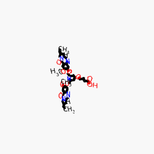 C/C=C1\C[C@H]2C=Nc3cc(OCc4cc(OCCCC(=O)O)cc(COc5cc6c(cc5OC)C(=O)N5C/C(=C/C)C[C@H]5C=N6)n4)c(OC)cc3C(=O)N2C1